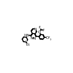 CCN1CCC[C@@H](Nc2nnc(-c3ccc(C(F)(F)F)cc3OC(F)F)c3cnccc23)C1